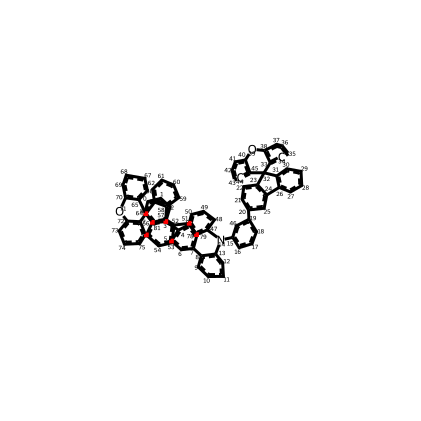 c1ccc(-c2ccc(-c3ccccc3N(c3cccc(-c4ccc5c(c4)-c4ccccc4C54c5ccccc5Oc5ccccc54)c3)c3cccc(-c4cccc5c4-c4ccccc4C54c5ccccc5Oc5ccccc54)c3)cc2)cc1